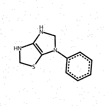 c1ccc(N2CNC3=C2SCN3)cc1